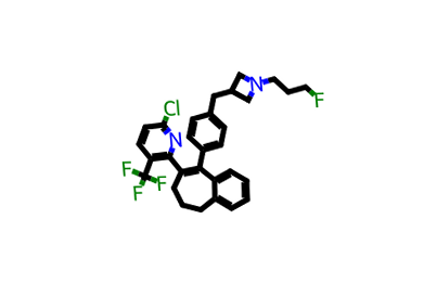 FCCCN1CC(Cc2ccc(C3=C(c4nc(Cl)ccc4C(F)(F)F)CCCc4ccccc43)cc2)C1